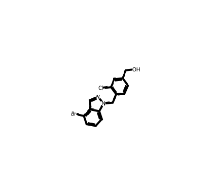 OCc1ccc(Cn2ncc3c(Br)cccc32)c(Cl)c1